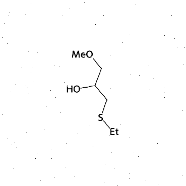 CCSCC(O)COC